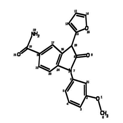 COc1cccc(N2C(=O)C(c3ccco3)c3cc(C(N)=O)ccc32)c1